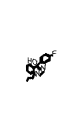 CCCCn1ccnc1C(O)(c1ccccc1)c1ccc(F)cc1